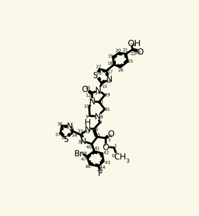 CCOC(=O)C1=C(CN2CCN3C(=O)N(c4nc(-c5ccc(C(=O)O)cc5)cs4)CC3C2)NC(c2nccs2)=NC1c1ccc(F)cc1Br